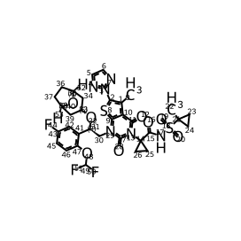 Cc1c(-n2nccn2)sc2c1c(=O)n(C1(C(=O)NS(=O)(=O)C3(C)CC3)CC1)c(=O)n2C[C@H](O[C@@H]1C[C@H]2CC[C@@H](C1)O2)c1cc(F)ccc1OC(F)F